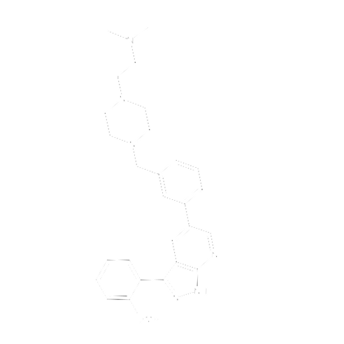 COc1ccccc1-c1n[nH]c2ncc(-c3cccc(CN4CCN(CCN(C)C)CC4)c3)cc12